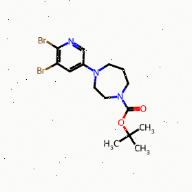 CC(C)(C)OC(=O)N1CCCN(c2cnc(Br)c(Br)c2)CC1